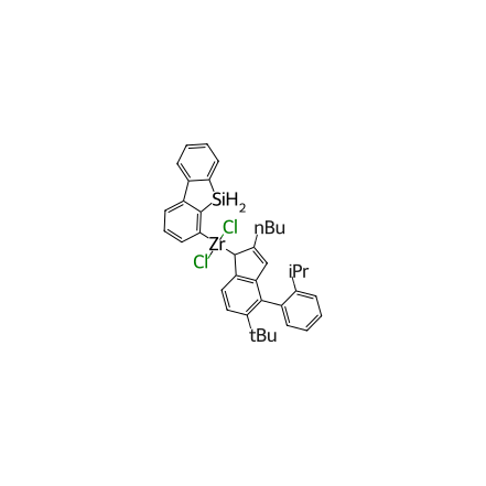 CCCCC1=Cc2c(ccc(C(C)(C)C)c2-c2ccccc2C(C)C)[CH]1[Zr]([Cl])([Cl])[c]1cccc2c1[SiH2]c1ccccc1-2